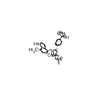 COc1cc(C)c2[nH]ccc2c1CN1CCC2(C[C@H]1c1ccc(-c3nnn[nH]3)cc1)CC(F)(F)C2